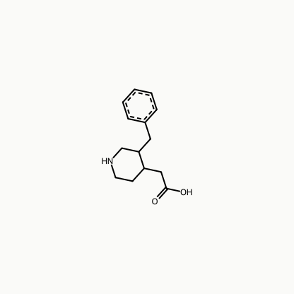 O=C(O)CC1CCNCC1Cc1ccccc1